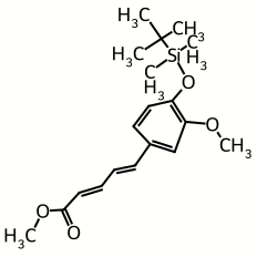 COC(=O)/C=C/C=C/c1ccc(O[Si](C)(C)C(C)(C)C)c(OC)c1